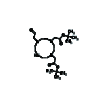 CC(C)(C)OC(=O)CN1CCNCCN(CC=O)CCN(CC(=O)OC(C)(C)C)CC1